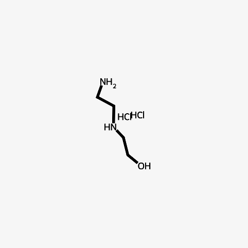 Cl.Cl.NCCNCCO